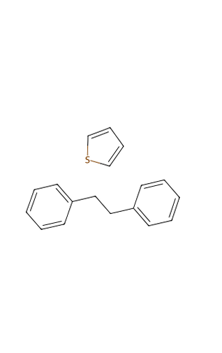 c1ccc(CCc2ccccc2)cc1.c1ccsc1